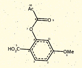 COc1ccc(C(=O)O)c(OC(=O)C(C)=O)c1